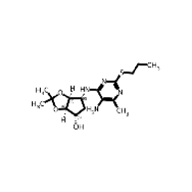 CCCSc1nc(C)c(N)c(N[C@@H]2C[C@H](O)[C@H]3OC(C)(C)O[C@H]32)n1